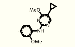 COc1c[c]ccc1Nc1ncc(C2CC2)c(OC)n1